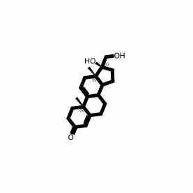 C[C@]12CCC(=O)C=C1CCC1C2=CC[C@@]2(C)C1CC[C@@]2(O)CO